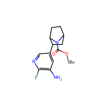 CC(C)(C)OC(=O)N1C2CCC1C(c1cnc(F)c(N)c1)C2